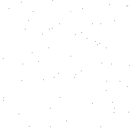 O=C1Cc2ccc(F)cc2Oc2cc(O)c(O)cc21